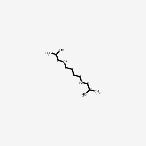 CC(O)COCCCCOCC(C)O